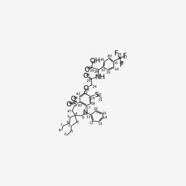 CCCCC1(CCCC)CN(c2ccccc2)c2cc(SC)c(OCC(=O)NC(C(=O)O)c3ccc(C(F)(F)F)cc3)cc2S(=O)(=O)C1